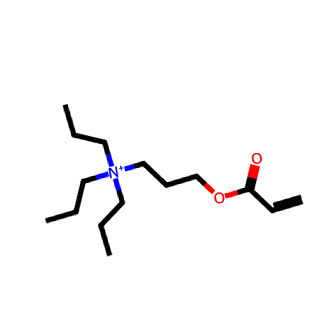 C=CC(=O)OCCC[N+](CCC)(CCC)CCC